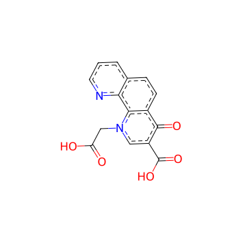 O=C(O)Cn1cc(C(=O)O)c(=O)c2ccc3cccnc3c21